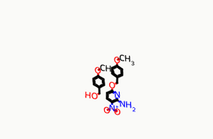 COc1ccc(CO)cc1.COc1ccc(COc2ccc([N+](=O)[O-])c(N)n2)cc1